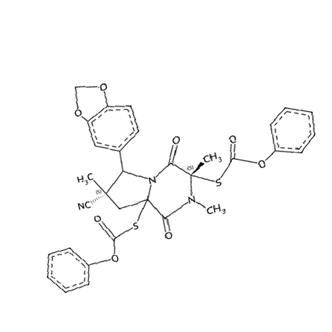 CN1C(=O)C2(SC(=O)Oc3ccccc3)C[C@](C)(C#N)C(c3ccc4c(c3)OCO4)N2C(=O)[C@]1(C)SC(=O)Oc1ccccc1